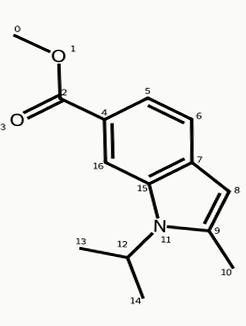 COC(=O)c1ccc2cc(C)n(C(C)C)c2c1